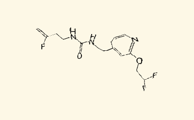 C=C(F)CCNC(=O)NCc1ccnc(OCC(F)F)c1